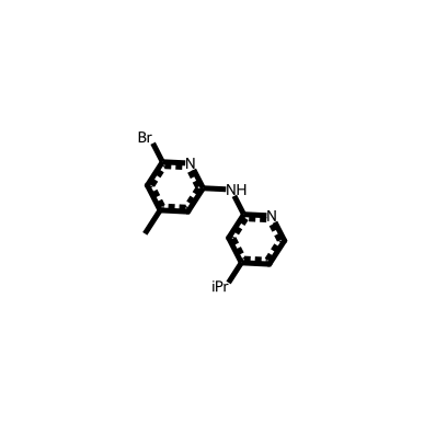 Cc1cc(Br)nc(Nc2cc(C(C)C)ccn2)c1